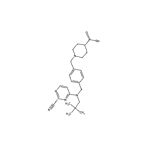 CC(C)(C)CN(Cc1ccc(CN2CCC(C(=O)O)CC2)cc1)c1ccnc(C#N)n1